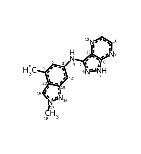 Cc1cc(Nc2n[nH]c3nccnc23)cc2nn(C)cc12